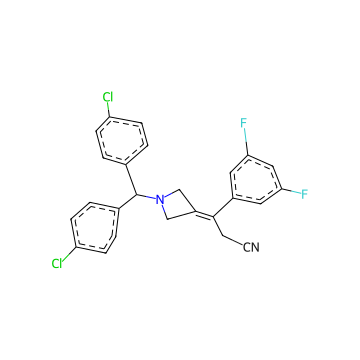 N#CCC(=C1CN(C(c2ccc(Cl)cc2)c2ccc(Cl)cc2)C1)c1cc(F)cc(F)c1